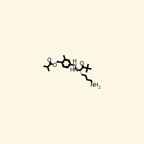 Cc1cc(NN[C@@H](CCCCN)C(=O)C(C)(C)C)ccc1COC(=O)C(C)C